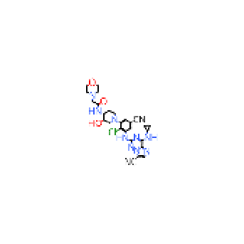 N#Cc1cc(Nc2nc(NC3CC3)c3ncc(C#N)n3n2)c(Cl)c(N2CC[C@@H](NC(=O)CN3CCOCC3)[C@H](O)C2)c1